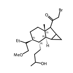 CCC(COC)[C@H]1CC[C@]2(C)C(C(=O)CBr)C3CC3[C@H]2[C@@H]1CCC(C)O